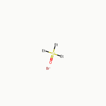 CC[S+](=O)(CC)CC.[Br-]